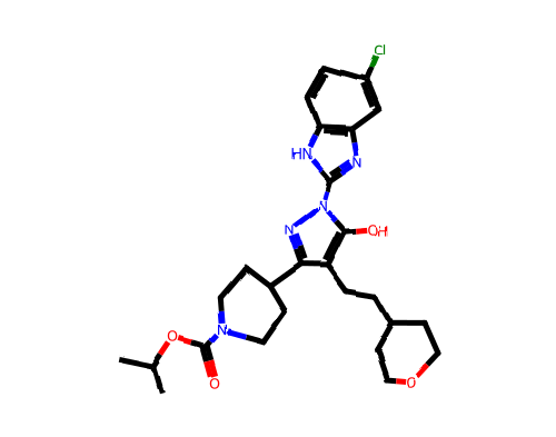 CC(C)OC(=O)N1CCC(c2nn(-c3nc4cc(Cl)ccc4[nH]3)c(O)c2CCC2CCOCC2)CC1